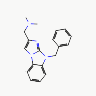 CCN(CC)Cc1cn2c3ccccc3n(Cc3ccccc3)c2n1